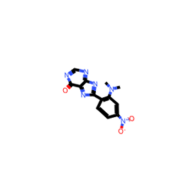 CN(C)c1cc([N+](=O)[O-])ccc1C1=NC2=NC=NC(=O)C2=N1